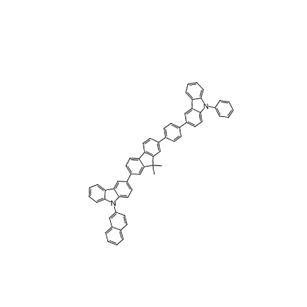 CC1(C)c2cc(-c3ccc(-c4ccc5c(c4)c4ccccc4n5-c4ccccc4)cc3)ccc2-c2ccc(-c3ccc4c(c3)c3ccccc3n4-c3ccc4ccccc4c3)cc21